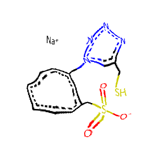 O=S(=O)([O-])c1ccccc1-n1nnnc1S.[Na+]